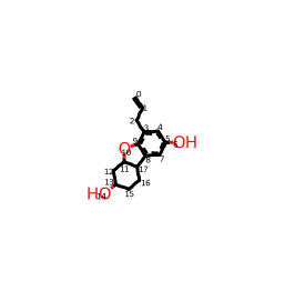 C=CCc1cc(O)cc2c1OC1CC(O)CCC21